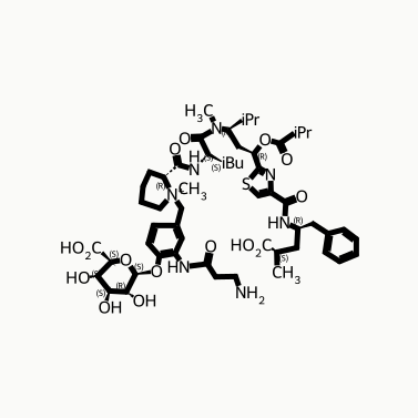 CC[C@H](C)[C@H](NC(=O)[C@H]1CCCC[N+]1(C)Cc1ccc(O[C@@H]2O[C@H](C(=O)O)[C@@H](O)[C@H](O)[C@H]2O)c(NC(=O)CCN)c1)C(=O)N(C)[C@H](C[C@@H](OC(=O)C(C)C)c1nc(C(=O)N[C@@H](Cc2ccccc2)C[C@H](C)C(=O)O)cs1)C(C)C